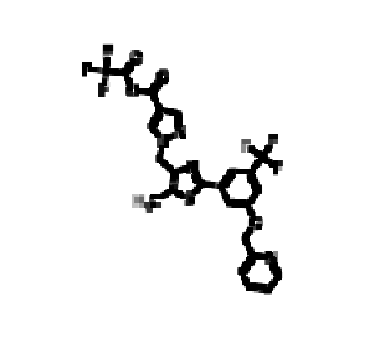 Cc1sc(-c2cc(OCc3ccccn3)cc(C(F)(F)F)c2)nc1Cn1cc(C(=O)OC(=O)C(F)(F)F)cn1